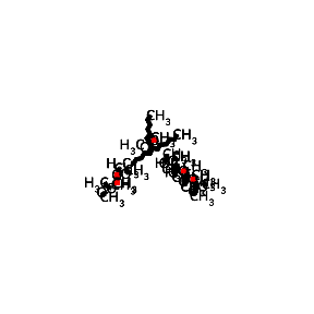 CCCCCCC(CCCCCC)C(CCCCCC)(OC)OC.COC(C)OC.COC(C)OC.COC(C)OC.COC(C)OC.COC(C)OC.COC(C)OC